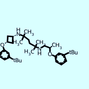 C[C@H](CNC(C)(C)CCC(C)(C)N[C@H]1C[C@@H](Oc2cccc(C(C)(C)C)c2)C1)Oc1cccc(C(C)(C)C)c1